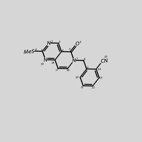 CSc1ncc2c(=O)n(Cc3ccccc3C#N)ccc2n1